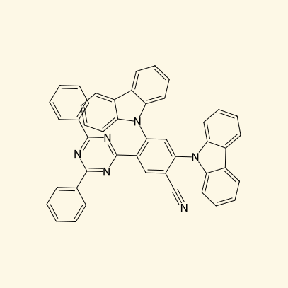 N#Cc1cc(-c2nc(-c3ccccc3)nc(-c3ccccc3)n2)c(-n2c3ccccc3c3ccccc32)cc1-n1c2ccccc2c2ccccc21